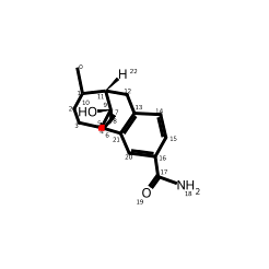 CC1CCC23CCCC[C@@]2(O)[C@H]1Cc1ccc(C(N)=O)cc13